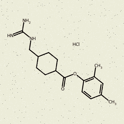 Cc1ccc(OC(=O)C2CCC(CNC(=N)N)CC2)c(C)c1.Cl